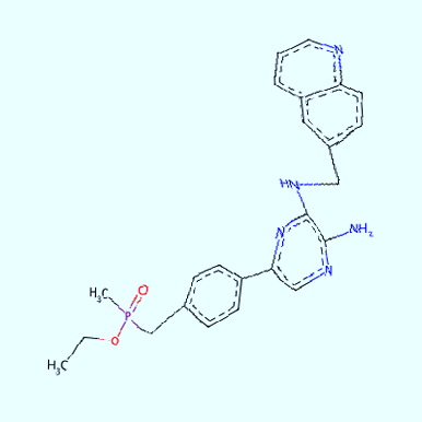 CCOP(C)(=O)Cc1ccc(-c2cnc(N)c(NCc3ccc4ncccc4c3)n2)cc1